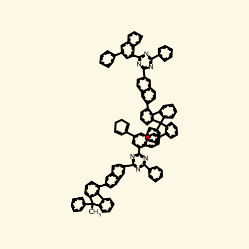 CC1(c2ccccc2)c2ccccc2-c2c(-c3ccc4cc(-c5nc(-c6ccccc6)nc(-c6cc(C7=CCCC=C7)cc7cc(-c8ccccc8C8(c9ccccc9)c9ccccc9-c9c(-c%10ccc%11cc(-c%12nc(-c%13ccccc%13)nc(-c%13cc(-c%14ccccc%14)cc%14ccccc%13%14)n%12)ccc%11c%10)cccc98)ccc67)n5)ccc4c3)cccc21